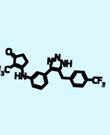 CC1=C(Nc2cccc(-c3nn[nH]c3Cc3ccc(C(F)(F)F)cc3)c2)CCC1=O